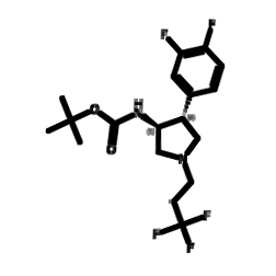 CC(C)(C)OC(=O)N[C@@H]1CN(C[CH]C(F)(F)F)C[C@H]1c1ccc(F)c(F)c1